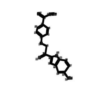 COC(=O)c1ccc(OCC(=O)c2cc3cc(C(C)(C)C)ccc3o2)cc1